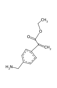 C=C(C(=O)OCC)c1ccc(CN)cc1